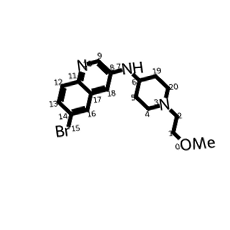 COCCN1CCC(Nc2cnc3ccc(Br)cc3c2)CC1